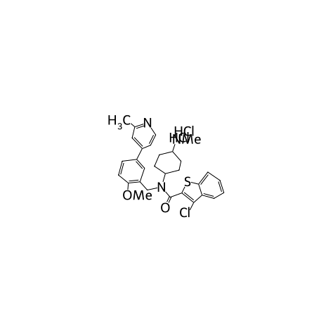 CNC1CCC(N(Cc2cc(-c3ccnc(C)c3)ccc2OC)C(=O)c2sc3ccccc3c2Cl)CC1.Cl.Cl